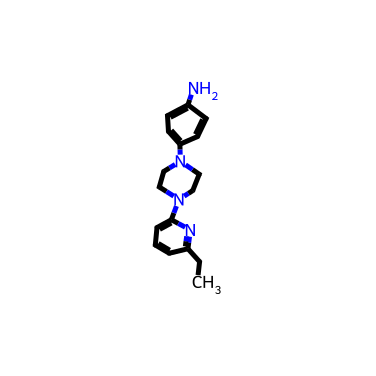 CCc1cccc(N2CCN(c3ccc(N)cc3)CC2)n1